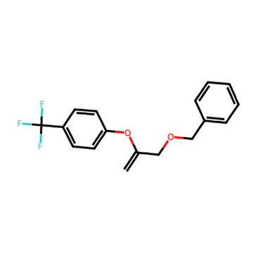 C=C(COCc1ccccc1)Oc1ccc(C(F)(F)F)cc1